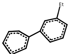 CCc1cccc(-c2ccccc2)c1